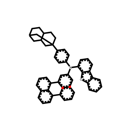 c1ccc(-c2cccc3cccc(-c4cccc(N(c5ccc(C67CCC8CCC(CC8C6)C7)cc5)c5cccc6c5oc5ccccc56)c4)c23)cc1